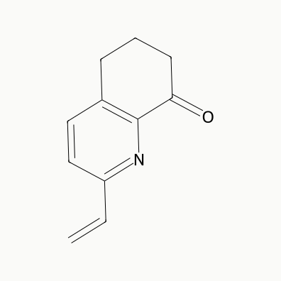 C=Cc1ccc2c(n1)C(=O)CCC2